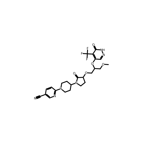 COCC(COC1CCN(C2CCN(c3ccc(C#N)cn3)CC2)C1=O)Oc1cn[nH]c(=O)c1C(F)(F)F